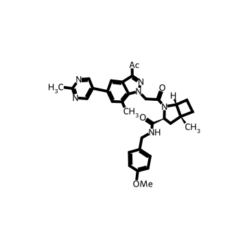 COc1ccc(CNC(=O)[C@@H]2C[C@@]3(C)CC[C@H]3N2C(=O)Cn2nc(C(C)=O)c3cc(-c4cnc(C)nc4)cc(C)c32)cc1